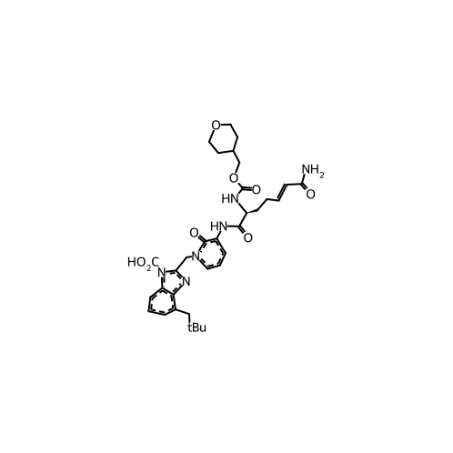 CC(C)(C)Cc1cccc2c1nc(Cn1cccc(NC(=O)[C@H](CC/C=C/C(N)=O)NC(=O)OCC3CCOCC3)c1=O)n2C(=O)O